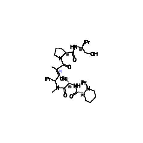 C/C(=C\C(C(C)C)N(C)C(=O)[C@@H](NC(=O)[C@H]1CCCCN1C(C)C)C(C)(C)C)C(=O)N1CCC[C@H]1C(=O)N[C@H](CO)C(C)C